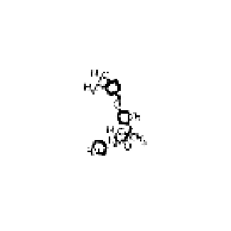 Cc1ccc(CO[C@@H]2CC[C@@H](CC(C)(C)C(=O)NC[C@H]3CCCNC3)NC2)cc1C